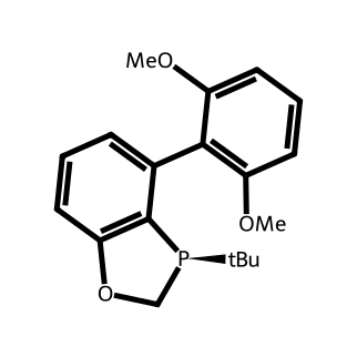 COc1cccc(OC)c1-c1cccc2c1[P@@](C(C)(C)C)CO2